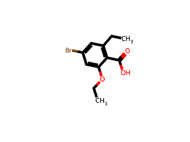 CCOc1cc(Br)cc(CC)c1C(=O)O